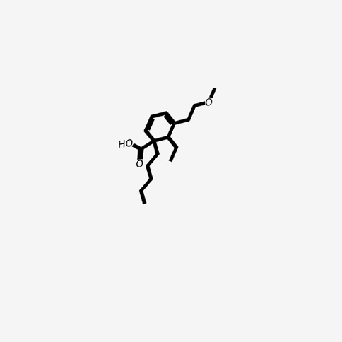 CCCCCC1(C(=O)O)C=CC=C(CCOC)C1CC